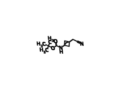 CC(C)(C)OC(=O)NC12CC(CC#N)(C1)C2